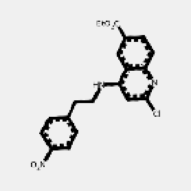 CCOC(=O)c1ccc2nc(Cl)cc(NCCc3ccc([N+](=O)[O-])cc3)c2c1